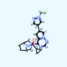 O=C(C1CC1)N1C2CCC1CN(c1ncnn3cc(-c4cnn(CF)c4)cc13)C2